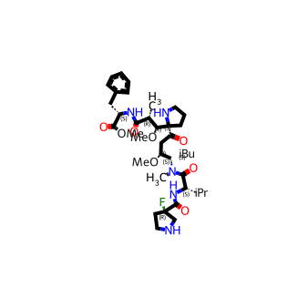 CC[C@H](C)[C@@H]([C@@H](CC(=O)[C@@]1([C@H](OC)[C@@H](C)C(=O)N[C@@H](Cc2ccccc2)C(=O)OC)CCCN1)OC)N(C)C(=O)[C@@H](NC(=O)[C@@]1(F)CCNC1)C(C)C